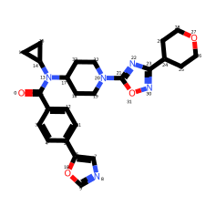 O=C(c1ccc(-c2cnco2)cc1)N(C1CC1)C1CCN(c2nc(C3CCOCC3)no2)CC1